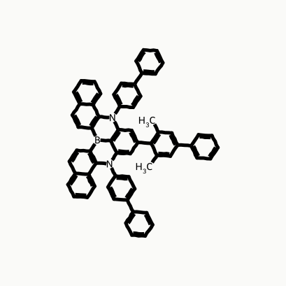 Cc1cc(-c2ccccc2)cc(C)c1-c1cc2c3c(c1)N(c1ccc(-c4ccccc4)cc1)c1c(ccc4ccccc14)B3c1ccc3ccccc3c1N2c1ccc(-c2ccccc2)cc1